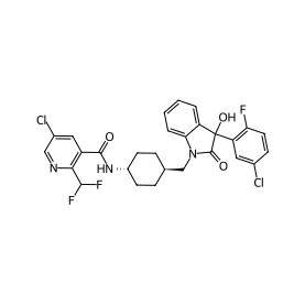 O=C(N[C@H]1CC[C@H](CN2C(=O)C(O)(c3cc(Cl)ccc3F)c3ccccc32)CC1)c1cc(Cl)cnc1C(F)F